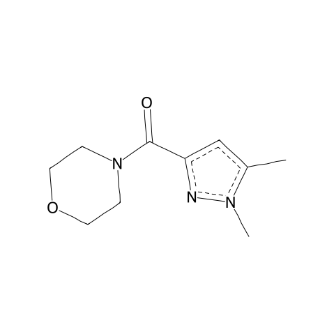 Cc1cc(C(=O)N2CCOCC2)nn1C